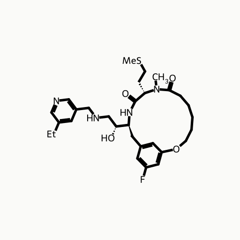 CCc1cncc(CNC[C@@H](O)[C@@H]2Cc3cc(F)cc(c3)OCCCCCC(=O)N(C)[C@@H](CCSC)C(=O)N2)c1